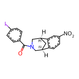 O=C(c1ccc(I)cc1)N1C[C@H]2C[C@@H](C1)c1cc([N+](=O)[O-])ccc12